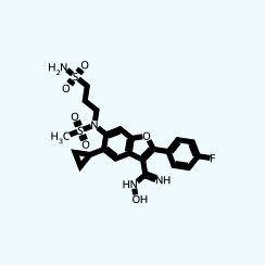 CS(=O)(=O)N(CCCS(N)(=O)=O)c1cc2oc(-c3ccc(F)cc3)c(C(=N)NO)c2cc1C1CC1